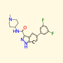 CN1CCC(NC(=O)c2n[nH]c3ccc(-c4cc(F)cc(F)c4)cc23)CC1